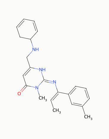 C/C=C(/N=c1/[nH]c(CNC2C=CC=CC2)cc(=O)n1C)c1cccc(C)c1